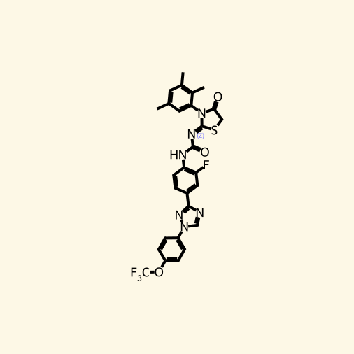 Cc1cc(C)c(C)c(N2C(=O)CS/C2=N\C(=O)Nc2ccc(-c3ncn(-c4ccc(OC(F)(F)F)cc4)n3)cc2F)c1